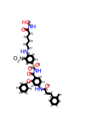 Cc1ccccc1C=CC(=O)Nc1ccc(C(=O)NS(=O)(=O)c2ccc(NCCCCCC(=O)NO)c([N+](=O)[O-])c2)c(Oc2ccccc2)c1